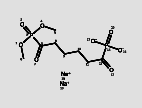 COP(=O)(OC)C(=O)CCCCC(=O)P(=O)([O-])[O-].[Na+].[Na+]